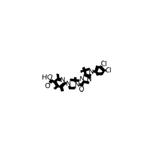 Cc1nc(N2CCN(C(=O)c3cnc4c(n3)C(C)(C)CN4c3ccc(Cl)c(Cl)c3)C(C)(C)C2)c(C)c(C)c1C(=O)O